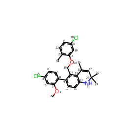 COc1cc(Cl)ccc1-c1ccc2c(c1COc1cc(Cl)ccc1C)C(C)=CC(C)(C)N2